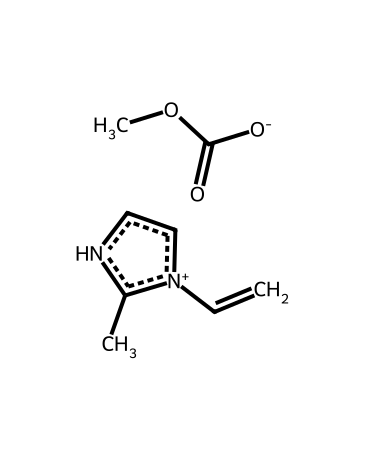 C=C[n+]1cc[nH]c1C.COC(=O)[O-]